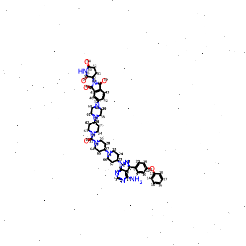 Nc1ncnc2c1c(-c1ccc(Oc3ccccc3)cc1)nn2C1CCN(C2CCN(C(=O)N3CCC(N4CCN(c5ccc6c(c5)C(=O)N(C5CCC(=O)NC5=O)C6=O)CC4)CC3)CC2)CC1